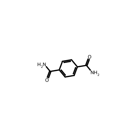 NC(=O)c1[c]cc(C(N)=O)cc1